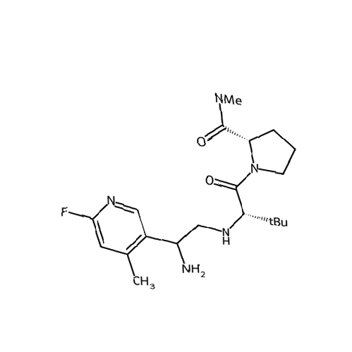 CNC(=O)[C@@H]1CCCN1C(=O)[C@@H](NCC(N)c1cnc(F)cc1C)C(C)(C)C